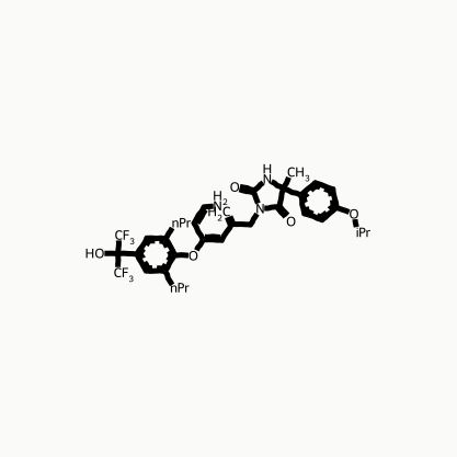 C=C(/C=C(\C=C/N)Oc1c(CCC)cc(C(O)(C(F)(F)F)C(F)(F)F)cc1CCC)CN1C(=O)NC(C)(c2ccc(OC(C)C)cc2)C1=O